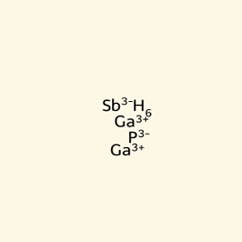 [Ga+3].[Ga+3].[P-3].[SbH6-3]